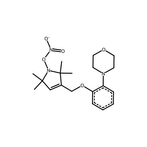 CC1(C)C=C(COc2ccccc2N2CCOCC2)C(C)(C)N1O[N+](=O)[O-]